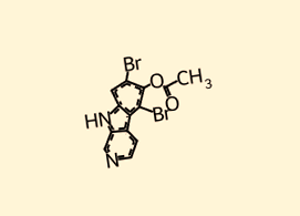 CC(=O)Oc1c(Br)cc2[nH]c3cnccc3c2c1Br